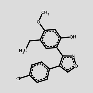 CCc1cc(-c2nocc2-c2ccc(Cl)cc2)c(O)cc1OC